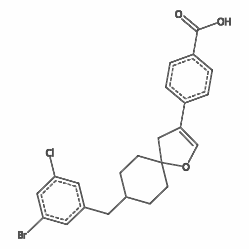 O=C(O)c1ccc(C2=COC3(CCC(Cc4cc(Cl)cc(Br)c4)CC3)C2)cc1